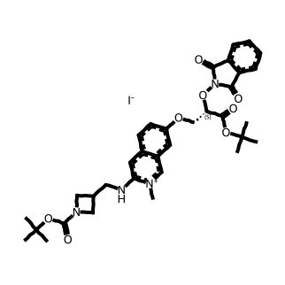 C[n+]1cc2cc(OC[C@H](ON3C(=O)c4ccccc4C3=O)C(=O)OC(C)(C)C)ccc2cc1NCC1CN(C(=O)OC(C)(C)C)C1.[I-]